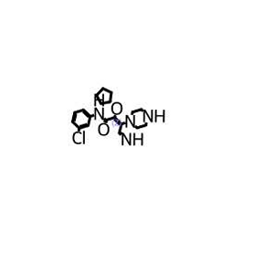 N=C/C(=C(/OC1CCCC1)C(=O)Nc1cccc(Cl)c1)N1CCNCC1